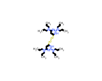 C=CCN(CC=C)C1=NN(N(CC=C)CC=C)NC(SSSSC2=CC(N(CC=C)CC=C)=NN(N(CC=C)CC=C)N2)=C1